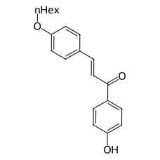 CCCCCCOc1ccc(C=CC(=O)c2ccc(O)cc2)cc1